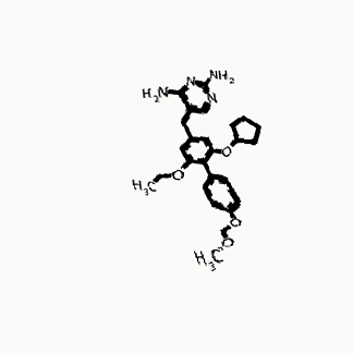 CCOc1cc(Cc2cnc(N)nc2N)cc(OC2CCCC2)c1-c1ccc(OCOC)cc1